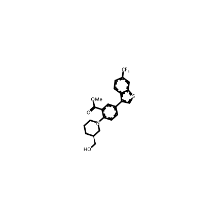 COC(=O)c1cc(-c2csc3cc(C(F)(F)F)ccc23)ccc1N1CCC[C@H](CO)C1